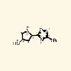 CC(C)c1noc([C@H]2C[C@@H](O)CN2)n1